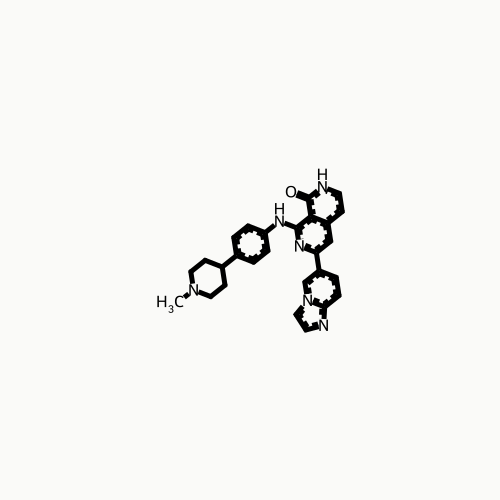 CN1CCC(c2ccc(Nc3nc(-c4ccc5nccn5c4)cc4cc[nH]c(=O)c34)cc2)CC1